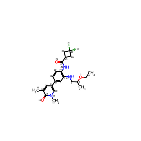 CCOC(C)CNc1cc(-c2cc(C)c(=O)n(C)c2)ccc1NC(=O)C1CC(F)(F)C1